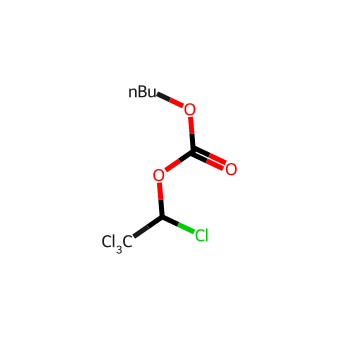 CCCCOC(=O)OC(Cl)C(Cl)(Cl)Cl